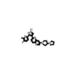 Cc1nc(-c2n[nH]cc2-c2ccc3ncc(N4CCC(N5CCCC5)CC4)cc3n2)ccc1F